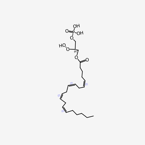 CCCCC/C=C\C/C=C\C/C=C\C/C=C\CCCC(=O)OC[C@H](COP(=O)(O)O)OO